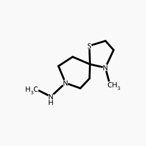 CNN1CCC2(CC1)SCCN2C